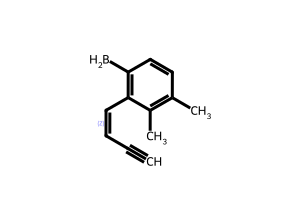 Bc1ccc(C)c(C)c1/C=C\C#C